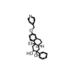 CCC12CC(O)C(O)(c3ccccc3)C[C@H]1CCc1cc(OCc3ccncc3)ccc12